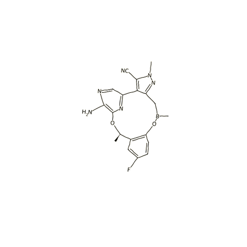 CB1Cc2nn(C)c(C#N)c2-c2cnc(N)c(n2)O[C@H](C)c2cc(F)ccc2O1